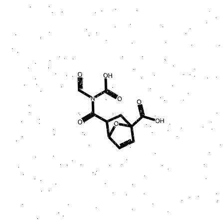 O=CN(C(=O)O)C(=O)C1CC2(C(=O)O)C=CC1O2